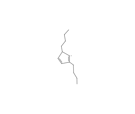 CCCCC1=[C]C(CCCC)C=C1